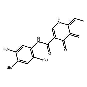 C=c1c(=O)c(C(=O)Nc2cc(O)c(C(C)(C)C)cc2C(C)(C)C)c[nH]/c1=C/C